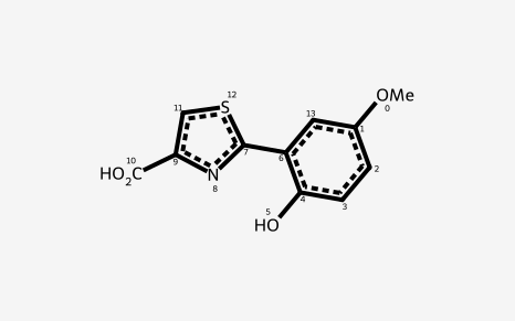 COc1ccc(O)c(-c2nc(C(=O)O)cs2)c1